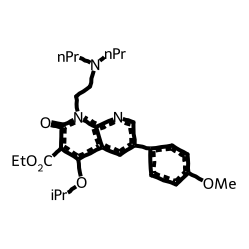 CCCN(CCC)CCn1c(=O)c(C(=O)OCC)c(OC(C)C)c2cc(-c3ccc(OC)cc3)cnc21